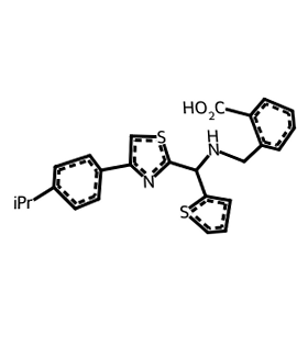 CC(C)c1ccc(-c2csc(C(NCc3ccccc3C(=O)O)c3cccs3)n2)cc1